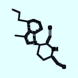 CCCc1cccc2c1c(C)cn2C1CCC(=C=O)NC1=C=O